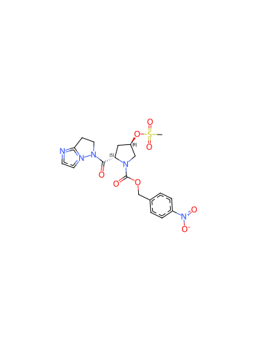 CS(=O)(=O)O[C@@H]1C[C@@H](C(=O)N2CCc3nccn32)N(C(=O)OCc2ccc([N+](=O)[O-])cc2)C1